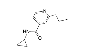 CCCc1cc(C(=O)NC2CC2)ccn1